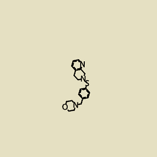 c1cnc2c(c1)CCN(Sc1ccc(CN3CCOCC3)cc1)C2